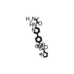 C[C@H](N)C(=O)Nc1ccc(-c2ccc(S(=O)(=O)OC(=O)C3CCCN3C)cc2)cn1